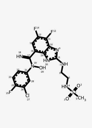 CS(=O)(=O)NCCNc1nc2c(F)c(F)cc(C(=N)N(O)c3ccc(F)c(Cl)c3)c2[nH]1